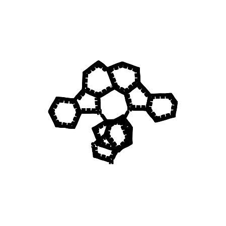 c1ccc(-n2c3ccccc3c3ccc4ccc5c6ccccc6n(-c6cccc7ncsc67)c5c4c32)cc1